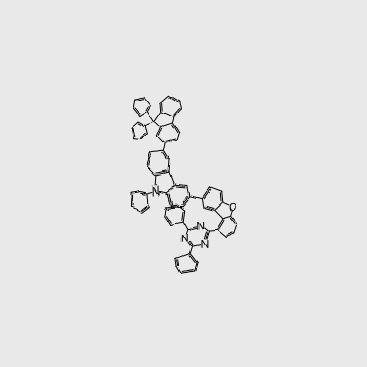 c1ccc(-c2nc(-c3ccccc3)nc(-c3cccc4oc5ccc(-c6ccc7c(c6)c6cc(-c8ccc9c(c8)C(c8ccccc8)(c8ccccc8)c8ccccc8-9)ccc6n7-c6ccccc6)cc5c34)n2)cc1